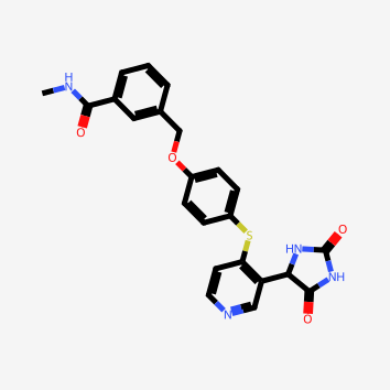 CNC(=O)c1cccc(COc2ccc(Sc3ccncc3C3NC(=O)NC3=O)cc2)c1